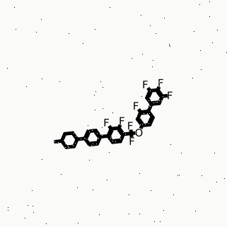 CC1CCC(c2ccc(-c3ccc(C(F)(F)Oc4ccc(-c5cc(F)c(F)c(F)c5)c(F)c4)c(F)c3F)cc2)CC1